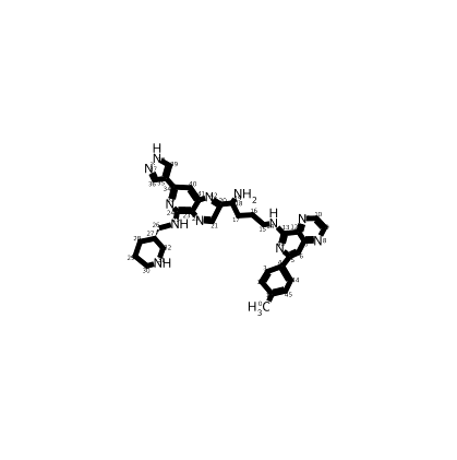 Cc1ccc(-c2cc3nccnc3c(NCCCC(N)c3cnc4c(NC[C@H]5CCCNC5)nc(-c5cn[nH]c5)cc4n3)n2)cc1